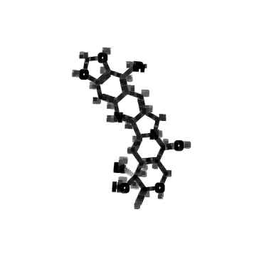 C=C1OCc2c(cc3n(c2=O)Cc2cc4c(C(C)C)c5c(cc4nc2-3)OCO5)[C@@]1(O)CC